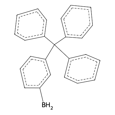 Bc1cccc(C(c2ccccc2)(c2ccccc2)c2ccccc2)c1